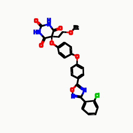 CCOCCC1(Oc2ccc(Oc3ccc(-c4nc(-c5ccccc5Cl)no4)cc3)cc2)C(=O)NC(=O)NC1=O